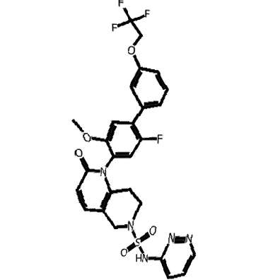 COc1cc(-c2cccc(OCC(F)(F)F)c2)c(F)cc1-n1c2c(ccc1=O)CN(S(=O)(=O)Nc1cccnn1)CC2